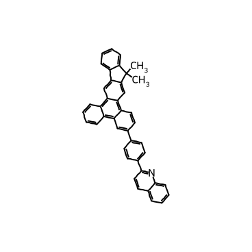 CC1(C)c2ccccc2-c2cc3c4ccccc4c4cc(-c5ccc(-c6ccc7ccccc7n6)cc5)ccc4c3cc21